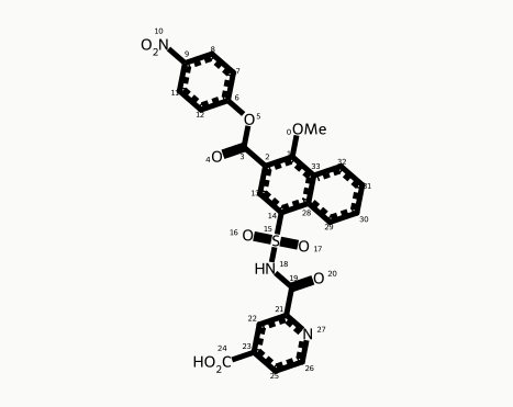 COc1c(C(=O)Oc2ccc([N+](=O)[O-])cc2)cc(S(=O)(=O)NC(=O)c2cc(C(=O)O)ccn2)c2ccccc12